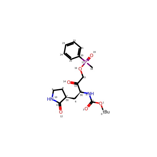 CC(C)(C)OC(=O)N[C@@H](C[C@@H]1CCNC1=O)C(=O)COP(C)(=O)c1ccccc1